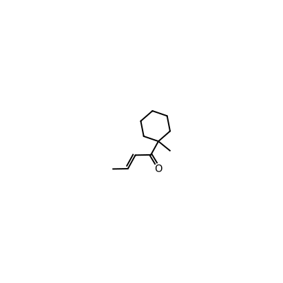 CC=CC(=O)C1(C)CCCCC1